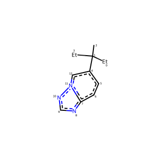 CCC(C)(CC)c1ccc2ncnn2c1